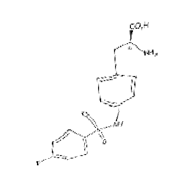 N[C@@H](Cc1ccc(NS(=O)(=O)c2ccc(F)cc2)cc1)C(=O)O